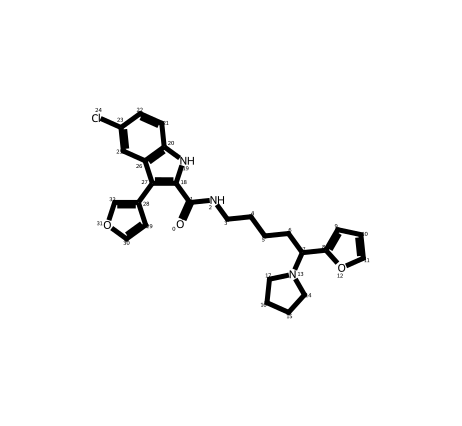 O=C(NCCCCC(c1ccco1)N1CCCC1)c1[nH]c2ccc(Cl)cc2c1-c1ccoc1